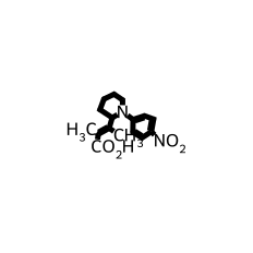 C/C(C(=O)O)=C(/C)C1CCCCN1c1ccc([N+](=O)[O-])cc1